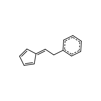 C1=CC(=CCc2ccccc2)C=C1